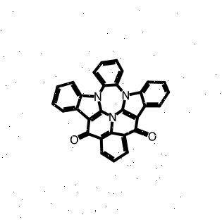 O=c1c2cccc3c(=O)c4c5ccccc5n5c6ccccc6n6c7ccccc7c1c6n(c23)c45